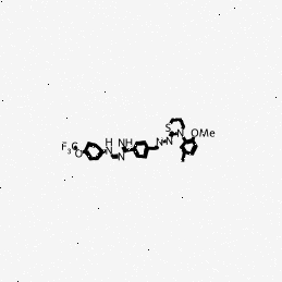 COc1ccc(C)cc1N1CCCS/C1=N\N=C\c1ccc(C(=N)/N=C\Nc2ccc(OC(F)(F)F)cc2)cc1